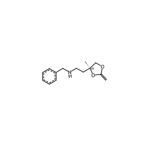 C=C1OC[C@](C)(CCNCc2ccccc2)O1